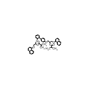 C=C(C)C(=O)OC(COc1ccc(-c2ccccc2OCC(COc2cccc3ccccc23)OC(=O)C(=C)C)cc1)COc1cccc2ccccc12